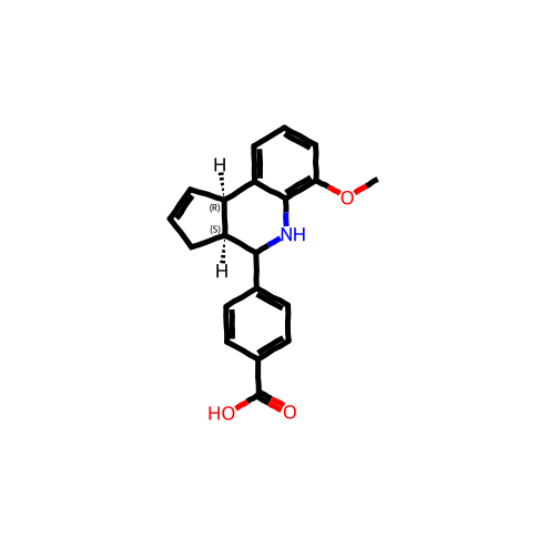 COc1cccc2c1NC(c1ccc(C(=O)O)cc1)[C@H]1CC=C[C@@H]21